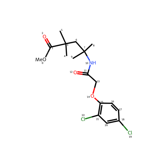 COC(=O)C(C)(C)CC(C)(C)NC(=O)COc1ccc(Cl)cc1Cl